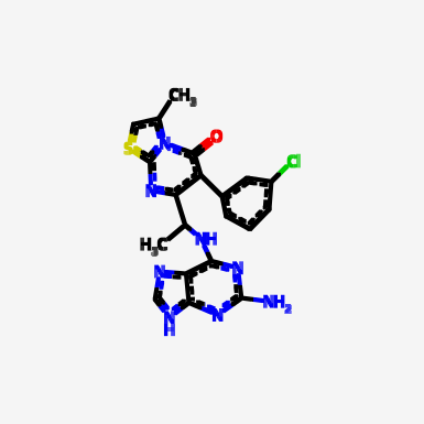 Cc1csc2nc(C(C)Nc3nc(N)nc4[nH]cnc34)c(-c3cccc(Cl)c3)c(=O)n12